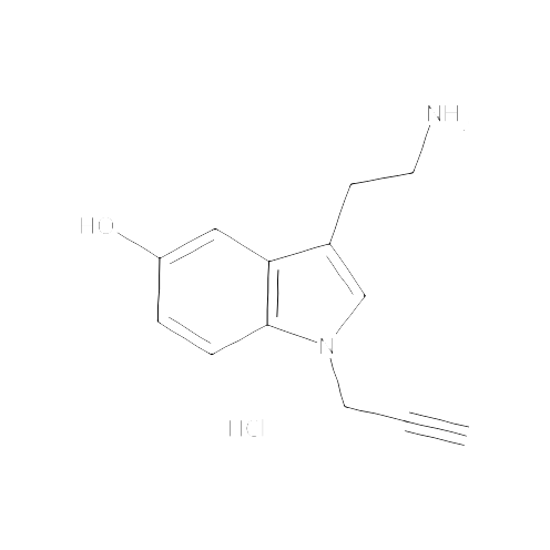 C#CCn1cc(CCN)c2cc(O)ccc21.Cl